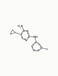 Nc1nc(Nc2cccc(I)c2)ncc1C1CC1